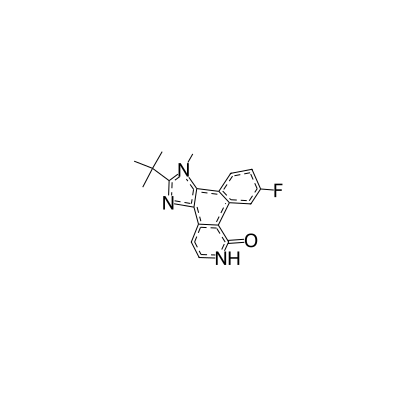 Cn1c(C(C)(C)C)nc2c3cc[nH]c(=O)c3c3cc(F)ccc3c21